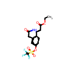 CCOC(=O)CC1NC(=O)Cc2cc(OS(=O)(=O)C(F)(F)F)ccc21